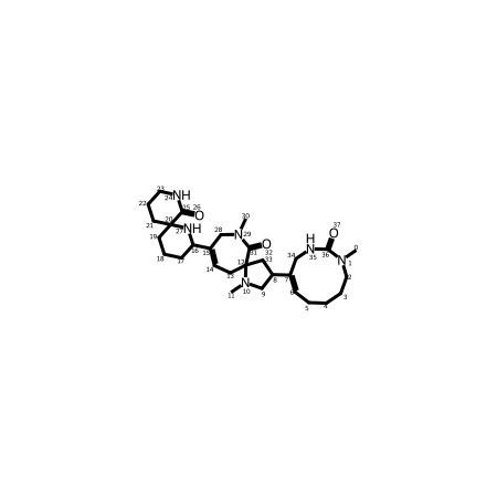 CN1CCCC/C=C(/C2CN(C)C3(CC=C(C4CCCC5(CCCNC5=O)N4)CN(C)C3=O)C2)CNC1=O